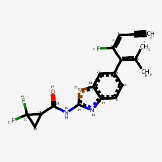 C#C/C=C(/F)C(=C(C)C)c1ccc2nc(NC(=O)C3CC3(F)F)sc2c1